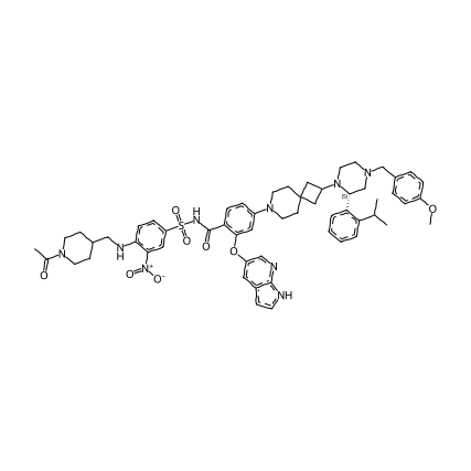 COc1ccc(CN2CCN(C3CC4(CCN(c5ccc(C(=O)NS(=O)(=O)c6ccc(NCC7CCN(C(C)=O)CC7)c([N+](=O)[O-])c6)c(Oc6cnc7[nH]ccc7c6)c5)CC4)C3)[C@@H](c3ccccc3C(C)C)C2)cc1